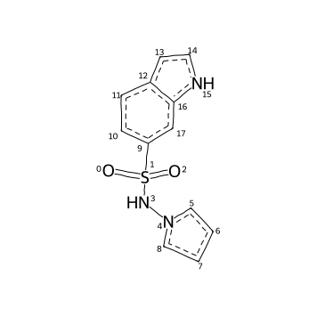 O=S(=O)(Nn1cccc1)c1ccc2cc[nH]c2c1